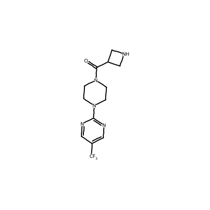 O=C(C1CNC1)N1CCN(c2ncc(C(F)(F)F)cn2)CC1